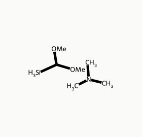 CN(C)C.COC([SiH3])OC